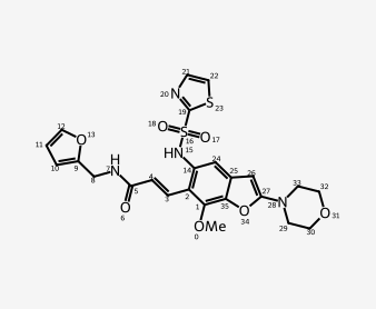 COc1c(C=CC(=O)NCc2ccco2)c(NS(=O)(=O)c2nccs2)cc2cc(N3CCOCC3)oc12